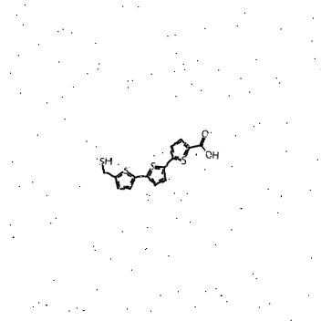 O=C(O)c1ccc(-c2ccc(-c3ccc(CS)s3)s2)s1